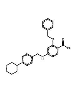 O=C(O)c1ccc(NCc2ncc(C3CCCCC3)cn2)cc1OCc1ccccc1